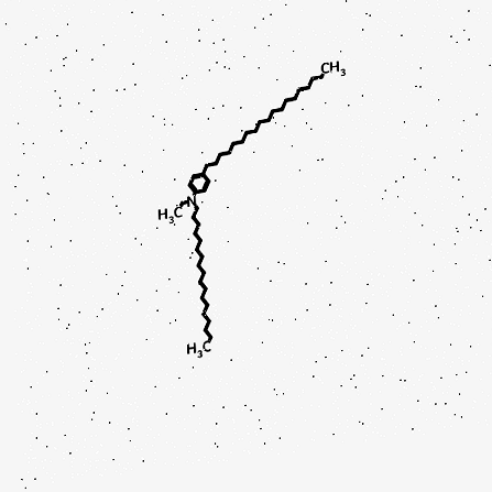 CCCCCCCCCCCCCCCCCCCc1ccc(N(CC)CCCCCCCCCCCCCCCCCC)cc1